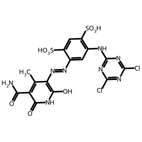 Cc1c(N=Nc2cc(Nc3nc(Cl)nc(Cl)n3)c(S(=O)(=O)O)cc2S(=O)(=O)O)c(O)[nH]c(=O)c1C(N)=O